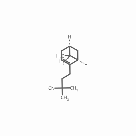 [C-]#[N+]C(C)(C)CCC1=CC[C@H]2C[C@@H]1C2(C)C